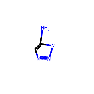 NC1=CN=N[N]1